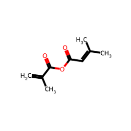 C=C(C)C(=O)OC(=O)C=C(C)C